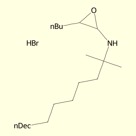 Br.CCCCCCCCCCCCCCCC(C)(C)NC1OC1CCCC